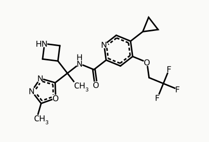 Cc1nnc(C(C)(NC(=O)c2cc(OCC(F)(F)F)c(C3CC3)cn2)C2CNC2)o1